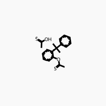 CC(=S)Oc1ccccc1C(C)(C)c1ccccc1.CC(O)=S